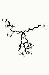 C=CC(=O)NCC(C)COCC(CCCCCCCC)(CCCCCCCC)COCC(C)CNC(O)C=C